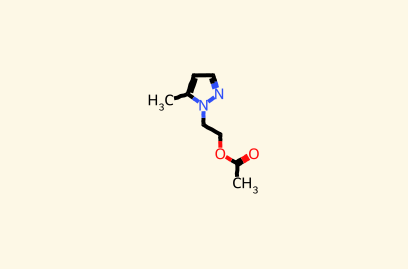 CC(=O)OCCn1nccc1C